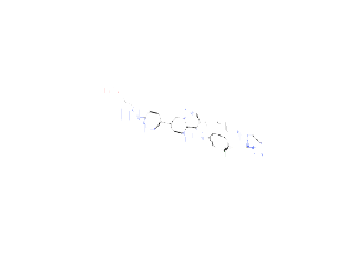 Cn1ccnc1Sc1ccc(Nc2c(C#N)cnc3cc(-c4ccc(NCCCO)nc4)ccc23)cc1Cl